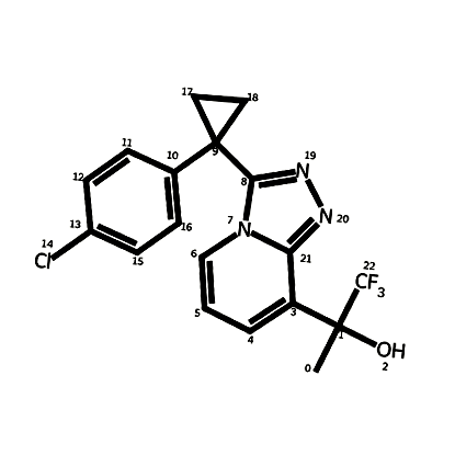 CC(O)(c1cccn2c(C3(c4ccc(Cl)cc4)CC3)nnc12)C(F)(F)F